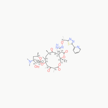 CC[C@@H]1OC(=O)[C@H](C)C(=O)[C@H](C)[C@@H](O[C@@H]2O[C@H](C)C[C@H](N(C)C)[C@H]2O)[C@](C)(OC)C[C@@H](C)C(=O)[C@H](C)[C@H]2[C@H](/C(N)=N/O[C@H](C)c3nnc(-c4ccccn4)s3)C(=O)O[C@@]21C